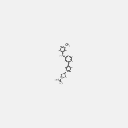 CCC(=O)N1CC(n2cc(-c3ccnc(Nc4cnn(C)c4)c3)cn2)C1